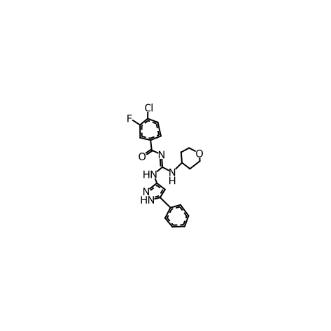 O=C(/N=C(\Nc1cc(-c2ccccc2)[nH]n1)NC1CCOCC1)c1ccc(Cl)c(F)c1